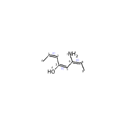 C\C=C/C(O)=C\C(N)=C/C